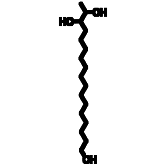 CC(O)C(O)CCCCCCCCCCCCCCO